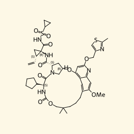 C=C[C@@H]1C[C@]1(NC(=O)[C@@H]1C[C@@H]2CN1C(=O)[C@H](C1CCCC1)NC(=O)OCC(C)(C)CCCc1cc3c(cc(OCc4csc(C)n4)nc3cc1OC)O2)C(=O)NS(=O)(=O)C1CC1